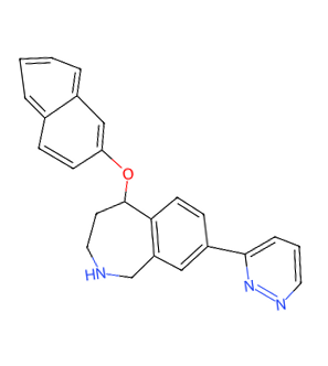 c1cnnc(-c2ccc3c(c2)CNCCC3Oc2ccc3ccccc3c2)c1